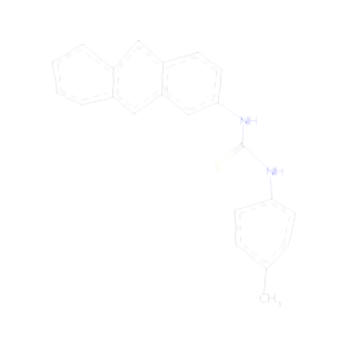 Cc1ccc(NC(=S)Nc2ccc3cc4ccccc4cc3c2)cc1